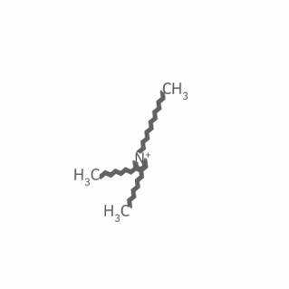 CCCCCCCCCCCCCC[n+]1ccc(CCCCCCCC)c(CCCCCCCC)c1